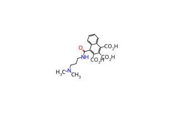 CN(C)CCCNC(=O)c1c(C(=O)O)c(C(=O)O)c(C(=O)O)c2ccccc12